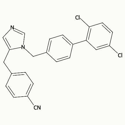 N#Cc1ccc(Cc2cncn2Cc2ccc(-c3cc(Cl)ccc3Cl)cc2)cc1